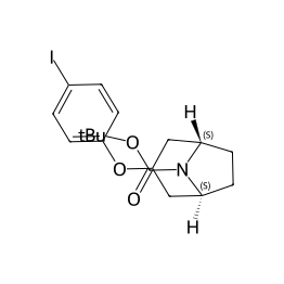 CC(C)(C)OC(=O)N1[C@H]2CC[C@H]1CC(Oc1ccc(I)cc1)C2